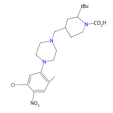 Cc1cc([N+](=O)[O-])c(Cl)cc1N1CCN(CC2CCN(C(=O)O)C(C(C)(C)C)C2)CC1